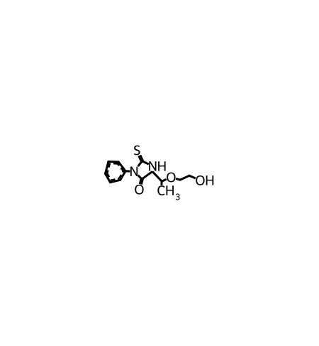 CC(OCCO)C1NC(=S)N(c2ccccc2)C1=O